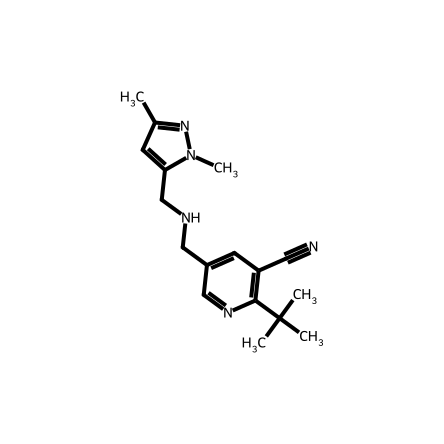 Cc1cc(CNCc2cnc(C(C)(C)C)c(C#N)c2)n(C)n1